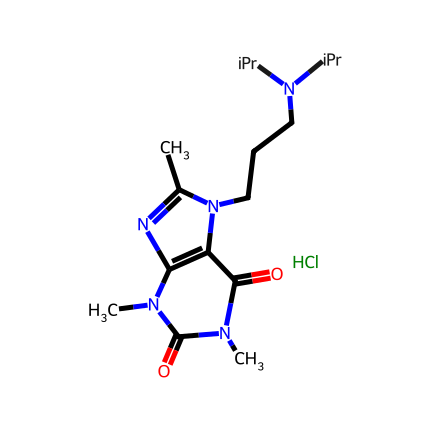 Cc1nc2c(c(=O)n(C)c(=O)n2C)n1CCCN(C(C)C)C(C)C.Cl